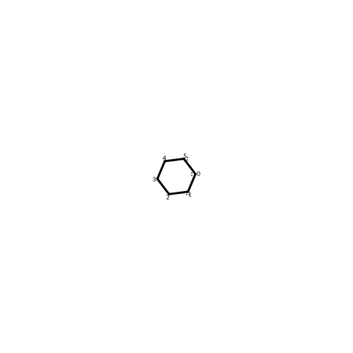 [C]1[C]CCC[C]1